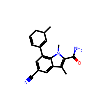 Cc1c(C(N)=O)n(C)c2c(C3=CC(C)CC=C3)cc(C#N)cc12